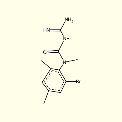 Cc1cc(C)c(N(C)C(=O)NC(=N)N)c(Br)c1